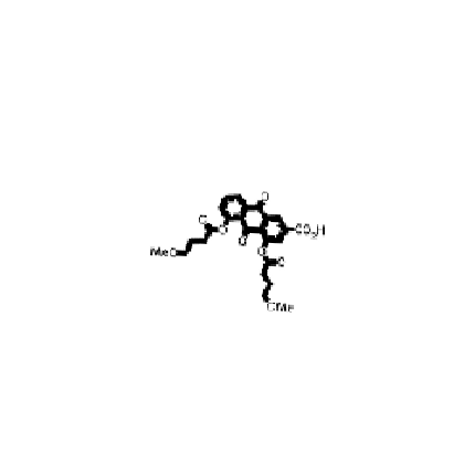 COCCCC(=O)Oc1cccc2c1C(=O)c1c(OC(=O)CCCOC)cc(C(=O)O)cc1C2=O